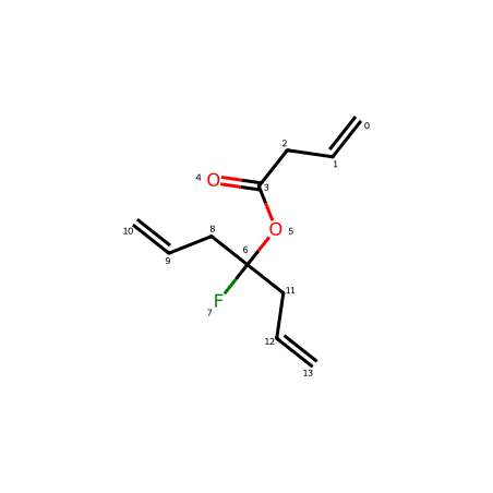 C=CCC(=O)OC(F)(CC=C)CC=C